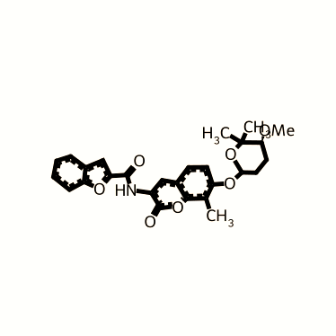 CO[C@@H]1CCC(Oc2ccc3cc(NC(=O)c4cc5ccccc5o4)c(=O)oc3c2C)OC1(C)C